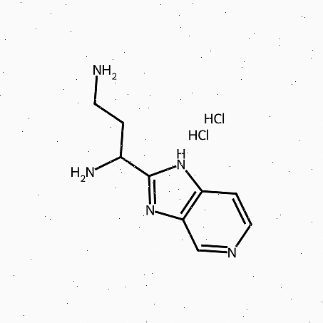 Cl.Cl.NCCC(N)c1nc2cnccc2[nH]1